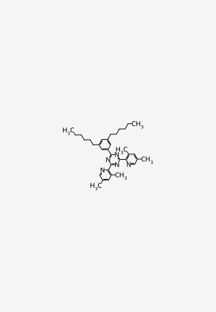 CCCCCCc1cc(CCCCCC)cc(-c2nc(-c3ncc(C)cc3C)nc(-c3ncc(C)cc3C)n2)c1